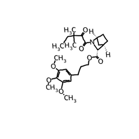 CCC(C)(C)C(=O)C(=O)N1[C@H]2CC[C@H](C2)[C@@H]1C(=O)OCCCc1cc(OC)c(OC)c(OC)c1